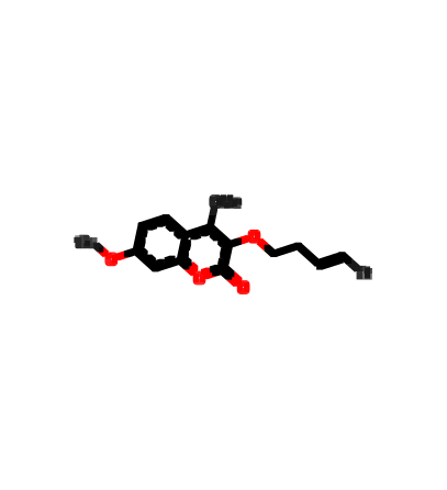 CCC=CCCOc1c(OC)c2ccc(OC(C)(C)C)cc2oc1=O